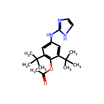 CC(=O)Oc1c(C(C)(C)C)cc(Nc2ncc[nH]2)cc1C(C)(C)C